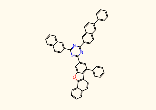 c1ccc(-c2ccc3cc(-c4nc(-c5ccc6ccccc6c5)nc(-c5cc(-c6ccccc6)c6c(c5)oc5c7ccccc7ccc56)n4)ccc3c2)cc1